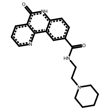 O=C(NCCN1CCCCC1)c1ccc2[nH]c(=O)c3cccnc3c2c1